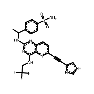 CC(Nc1nc(NCC(F)(F)F)c2nc(C#Cc3c[nH]cn3)ccc2n1)c1ccc(S(N)(=O)=O)cc1